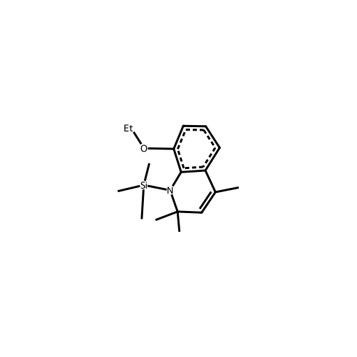 CCOc1cccc2c1N([Si](C)(C)C)C(C)(C)C=C2C